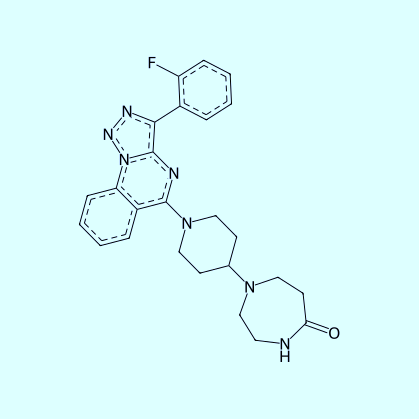 O=C1CCN(C2CCN(c3nc4c(-c5ccccc5F)nnn4c4ccccc34)CC2)CCN1